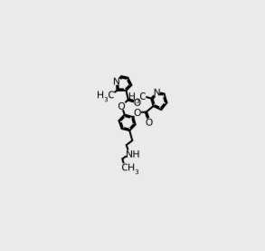 CCNCCc1ccc(OC(=O)c2cccnc2C)c(OC(=O)c2cccnc2C)c1